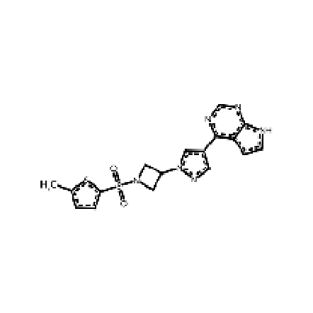 Cc1ccc(S(=O)(=O)N2C[C](n3cc(-c4ncnc5[nH]ccc45)cn3)C2)s1